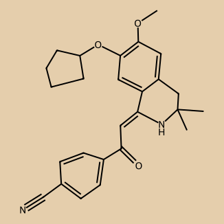 COc1cc2c(cc1OC1CCCC1)C(=CC(=O)c1ccc(C#N)cc1)NC(C)(C)C2